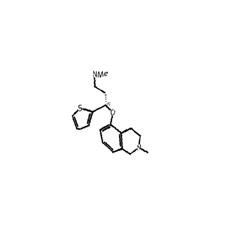 CNCC[C@H](Oc1cccc2c1CCN(C)C2)c1cccs1